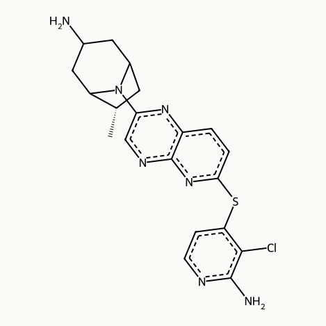 C[C@H]1CC2CC(N)CC1N2c1cnc2nc(Sc3ccnc(N)c3Cl)ccc2n1